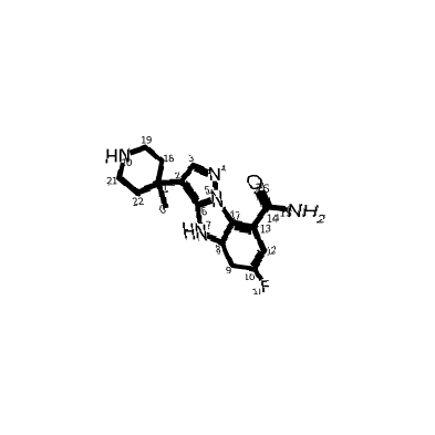 CC1(c2cnn3c2NC2CC(F)=CC(C(N)=O)=C23)CCNCC1